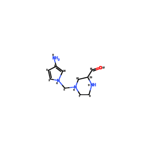 Nc1ccn(CN2CCNC(C=O)C2)c1